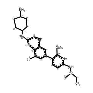 CCc1cc(-c2ccc(N[S+]([O-])CC(F)(F)F)nc2OC)cc2cnc(NC3CCC(N)CC3)nc12